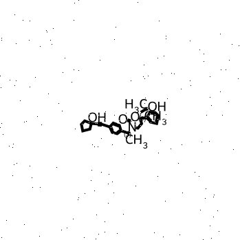 C[C@@H](c1ccc(C#CC2(O)CCCC2)cc1)N1CC[C@](CC(C)(C)O)(c2ccccc2)OC1=O